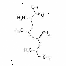 CC[C@H](C)C[C@H](C)C[C@H](C)C[C@H](N)C(=O)O